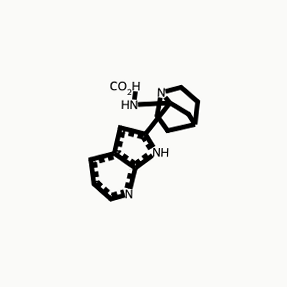 O=C(O)NC1(c2cc3cccnc3[nH]2)CC2CCN1CC2